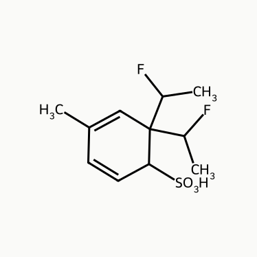 CC1=CC(C(C)F)(C(C)F)C(S(=O)(=O)O)C=C1